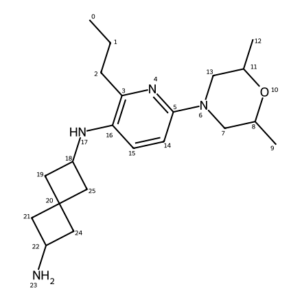 CCCc1nc(N2CC(C)OC(C)C2)ccc1NC1CC2(CC(N)C2)C1